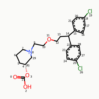 O=C(O)O[C@@H]1CCCN(CCOCCC(c2ccc(Cl)cc2)c2ccc(Cl)cc2)C1